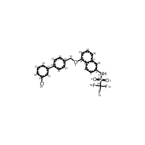 O=S(=O)(Nc1ccc2c(OCc3ccc(-c4cccc(Cl)c4)cc3)cccc2c1)C(F)(F)F